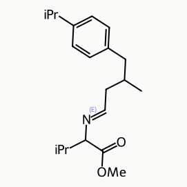 COC(=O)C(/N=C/CC(C)Cc1ccc(C(C)C)cc1)C(C)C